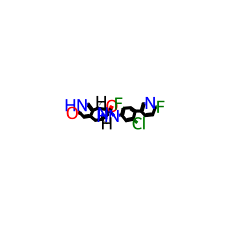 O=C(Nc1cc(Cl)c(-c2ccc(F)nc2)cc1F)N1[C@H]2CC[C@@H]1c1c[nH]c(=O)cc1C2